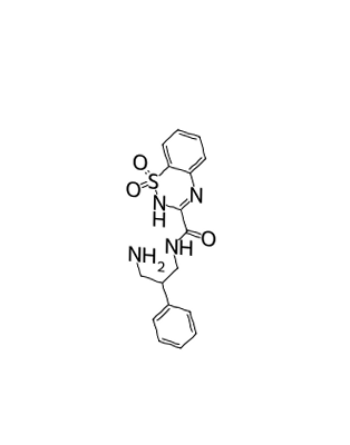 NCC(CNC(=O)C1=Nc2ccccc2S(=O)(=O)N1)c1ccccc1